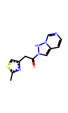 Cc1nc(CC(=O)N2C=C3C=CN=CN3N2)cs1